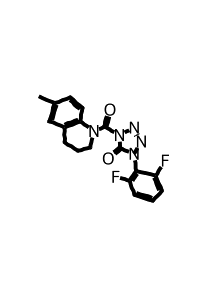 Cc1ccc2c(c1)CCCN2C(=O)n1nnn(-c2c(F)cccc2F)c1=O